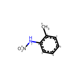 Cc1ccccc1N[N+](=O)[O-]